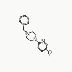 COc1ccc(N2CCN(Cc3ccccc3)CC2)nc1